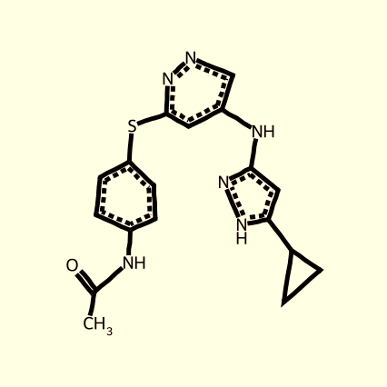 CC(=O)Nc1ccc(Sc2cc(Nc3cc(C4CC4)[nH]n3)cnn2)cc1